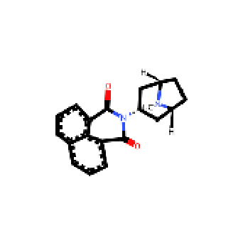 CN1[C@@H]2CC[C@H]1C[C@@H](N1C(=O)c3cccc4cccc(c34)C1=O)C2